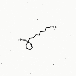 CCCCCCC1(CCCCCCCC(=O)O)C=CCCC1